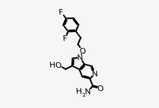 NC(=O)c1cc2c(CO)cn(OCCc3ccc(F)cc3F)c2cn1